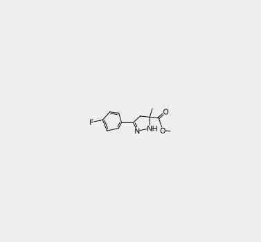 COC(=O)C1(C)CC(c2ccc(F)cc2)=NN1